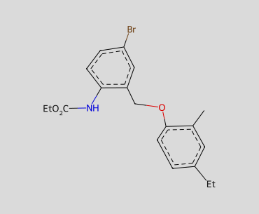 CCOC(=O)Nc1ccc(Br)cc1COc1ccc(CC)cc1C